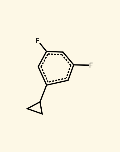 Fc1cc(F)cc(C2CC2)c1